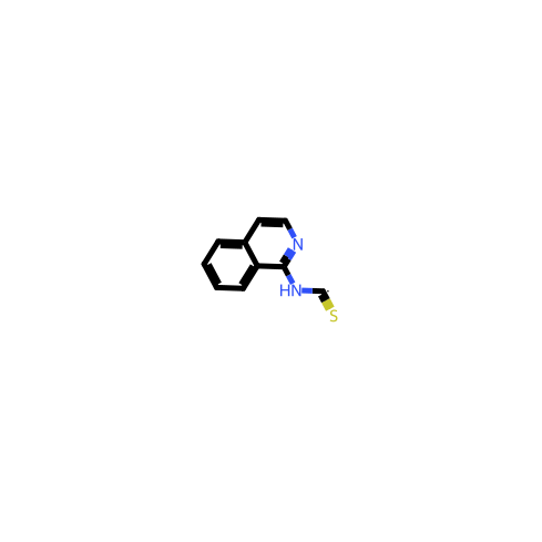 S=[C]Nc1nccc2ccccc12